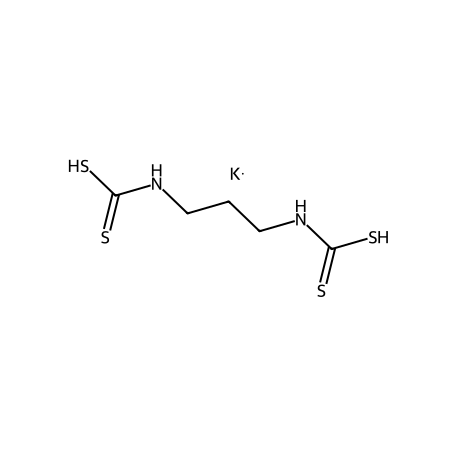 S=C(S)NCCCNC(=S)S.[K]